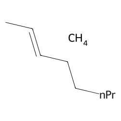 C.CC=CCCCCC